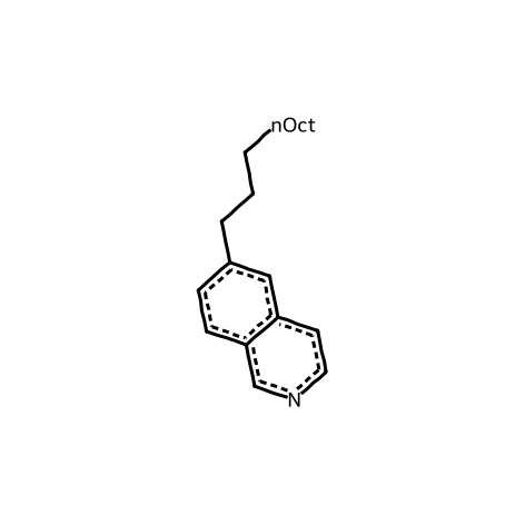 CCCCCCCCCCCc1ccc2cnccc2c1